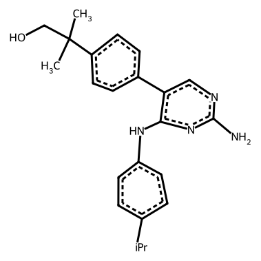 CC(C)c1ccc(Nc2nc(N)ncc2-c2ccc(C(C)(C)CO)cc2)cc1